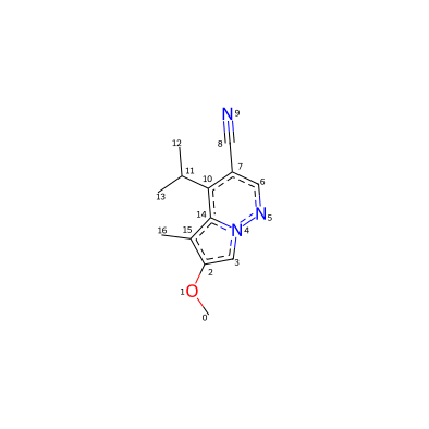 COc1cn2ncc(C#N)c(C(C)C)c2c1C